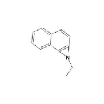 CCN1c2ccc3ccccc3c21